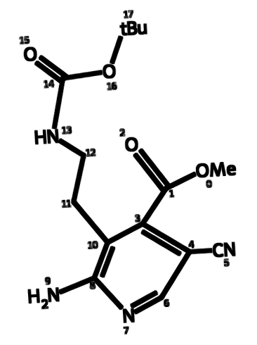 COC(=O)c1c(C#N)cnc(N)c1CCNC(=O)OC(C)(C)C